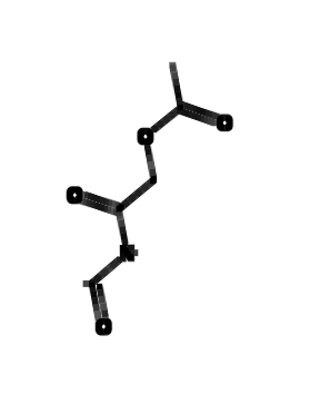 CC(=O)OCC(=O)[N][C]=O